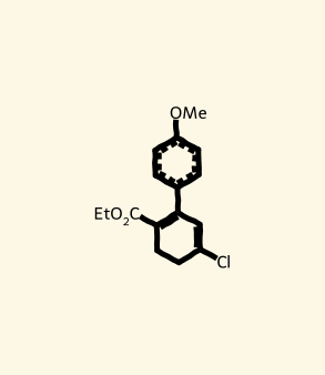 CCOC(=O)C1=C(c2ccc(OC)cc2)C=C(Cl)CC1